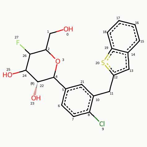 OCC1OC(c2ccc(Cl)c(Cc3cc4ccccc4s3)c2)[C@H](O)C(O)C1F